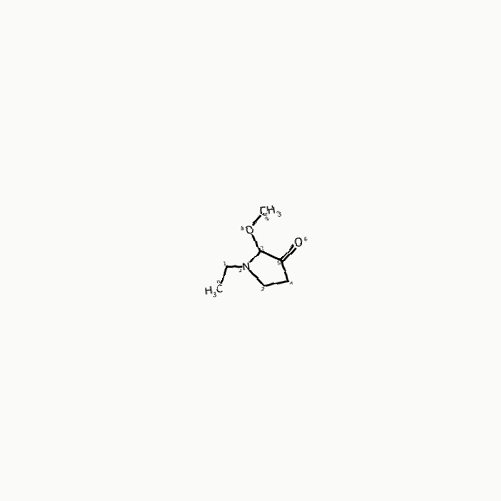 CCN1CCC(=O)C1OC